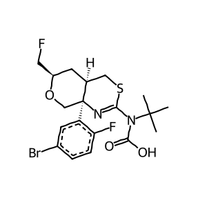 CC(C)(C)N(C(=O)O)C1=N[C@@]2(c3cc(Br)ccc3F)CO[C@@H](CF)C[C@H]2CS1